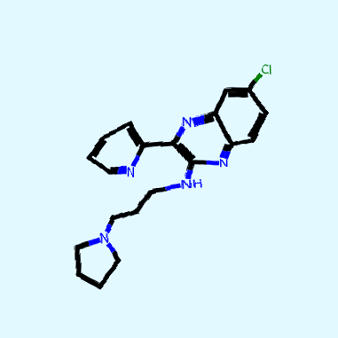 Clc1ccc2nc(NCCCN3CCCC3)c(-c3ccccn3)nc2c1